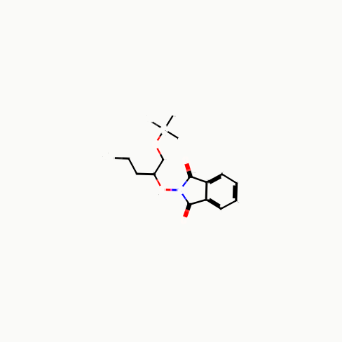 CC(=O)OCCC(CO[Si](C)(C)C(C)(C)C)ON1C(=O)c2ccccc2C1=O